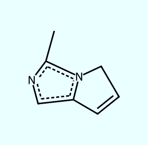 Cc1ncc2n1CC=C2